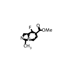 COC(=O)c1ccn2c(C)ncc2c1F